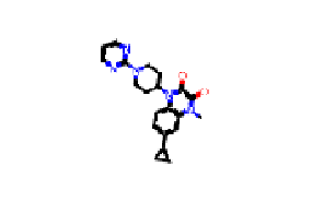 Cn1c(=O)c(=O)n(C2CCN(c3ncccn3)CC2)c2ccc(C3CC3)cc21